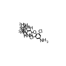 [2H]c1c(Oc2c(Cl)cc(N)cc2Cl)n[nH]c(=O)c1C([2H])(C([2H])([2H])[2H])C([2H])([2H])[2H]